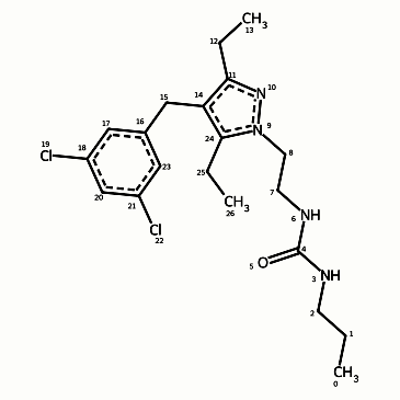 CCCNC(=O)NCCn1nc(CC)c(Cc2cc(Cl)cc(Cl)c2)c1CC